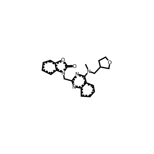 CN(CC1CCOC1)c1nc(Cn2c(=O)oc3ccccc32)nc2ccccc12